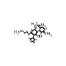 CCCCCc1cc2c(c(O)c1-c1ccsc1)-c1cc(C)ccc1C(C)(C)O2